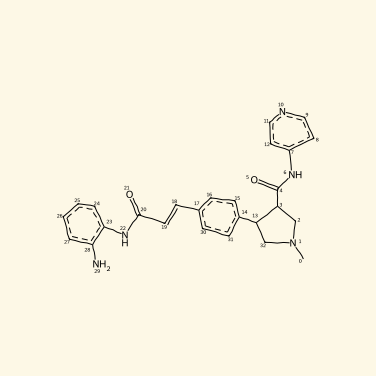 CN1CC(C(=O)Nc2ccncc2)C(c2ccc(/C=C/C(=O)Nc3ccccc3N)cc2)C1